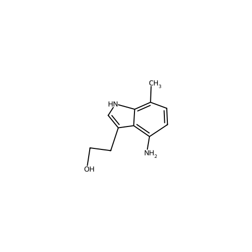 Cc1ccc(N)c2c(CCO)c[nH]c12